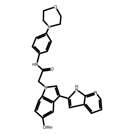 COc1ccc2c(c1)c(-c1cc3cccnc3[nH]1)cn2CC(=O)Nc1ccc(N2CCOCC2)cc1